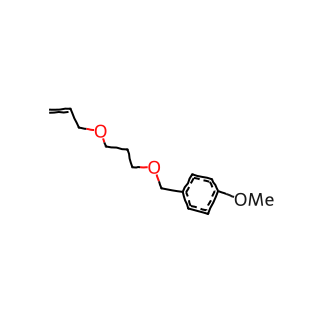 C=CCOCCCOCc1ccc(OC)cc1